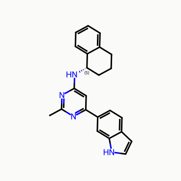 Cc1nc(N[C@H]2CCCc3ccccc32)cc(-c2ccc3cc[nH]c3c2)n1